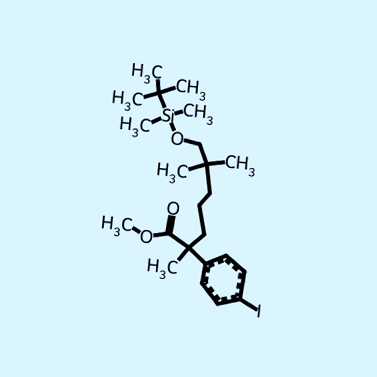 COC(=O)C(C)(CCCC(C)(C)CO[Si](C)(C)C(C)(C)C)c1ccc(I)cc1